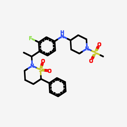 CC(c1ccc(NC2CCN(S(C)(=O)=O)CC2)cc1F)N1CCCC(c2ccccc2)S1(=O)=O